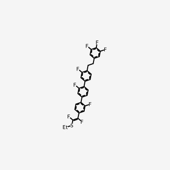 CCS/C(F)=C(\F)c1ccc(-c2ccc(-c3ccc(CCc4cc(F)c(F)c(F)c4)c(F)c3)c(F)c2)c(F)c1